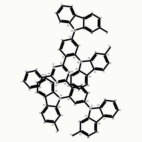 Cc1ccc2c3ccccc3n(-c3ccc(-c4nc(-c5ccccc5)nc(-c5ccc(-n6c7ccccc7c7ccc(C)cc76)cc5-n5c6ccccc6c6ccc(C)cc65)n4)c(-n4c5ccccc5c5ccc(C)cc54)c3)c2c1